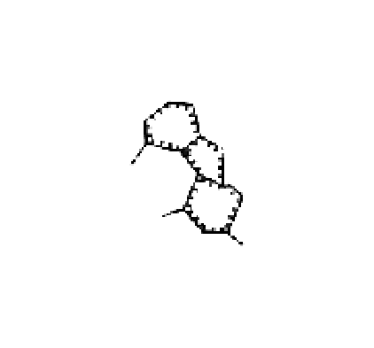 Cc1cc(C)c2c(c1)sc1cccc(C)c12